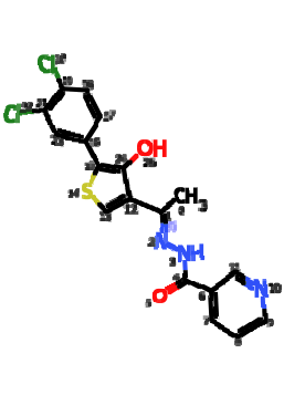 C/C(=N\NC(=O)c1cccnc1)c1csc(-c2ccc(Cl)c(Cl)c2)c1O